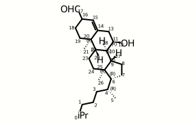 CC(C)CCC[C@@H](C)[C@H]1CC[C@H]2[C@@H]3[C@H](O)CC4=CC(C=O)CC[C@]4(C)[C@H]3CC[C@]12C